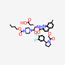 CCCCOC(=O)N1CCN(C(=O)[C@H](CCC(=O)O)NC(=O)c2cc(OCC(=O)N3CCCC3c3ccc(F)c(F)c3)c3ccc(C)cc3n2)CC1